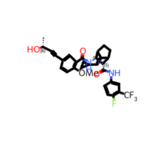 COc1ccc(C#C[C@@H](C)O)cc1C(=O)N[C@@H]1C2CCC(/C2=C/C2CC2)[C@@H]1C(=O)Nc1ccc(F)c(C(F)(F)F)c1